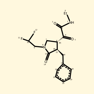 CCNC(=O)C(=O)[C@H]1CN(CC(F)F)C(=O)[C@@H]1Cc1ccccc1